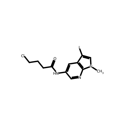 Cn1cc(I)c2cc(NC(=O)CCCCl)cnc21